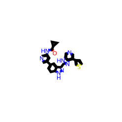 O=C(Nc1cncc(C2=CCC3NN=C(c4nc5c(-c6ccsc6)cncc5[nH]4)C3=C2)c1)C1CC1